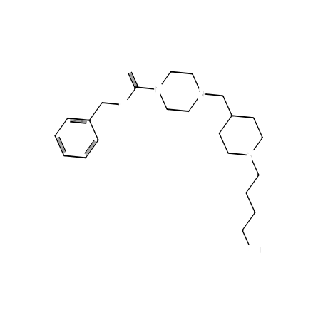 O=C(OCc1ccccc1)N1CCN(CC2CCN(CCCCO)CC2)CC1